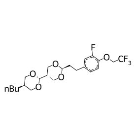 CCCC[C@H]1CO[C@H]([C@H]2CO[C@H](CCc3ccc(OCC(F)(F)F)c(F)c3)OC2)OC1